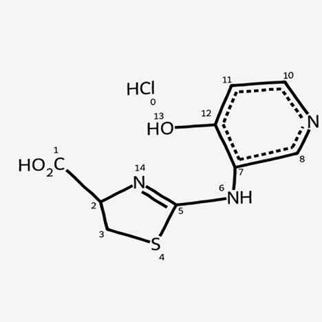 Cl.O=C(O)C1CSC(Nc2cnccc2O)=N1